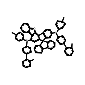 Cc1ccc(N(c2ccc(-c3ccccc3C)cc2)c2ccc3c(c2)C2(c4ccccc4-c4ccccc42)c2cc(N(c4ccc(C)cc4)c4ccc(-c5ccccc5C)cc4)c4c(oc5ccccc54)c2-3)cc1